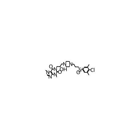 Cc1cc([S+]([O-])CCCN2CCN(CC(O)Cn3c(=O)c4c(ncn4C)n(C)c3=O)CC2)cc(C)c1Cl